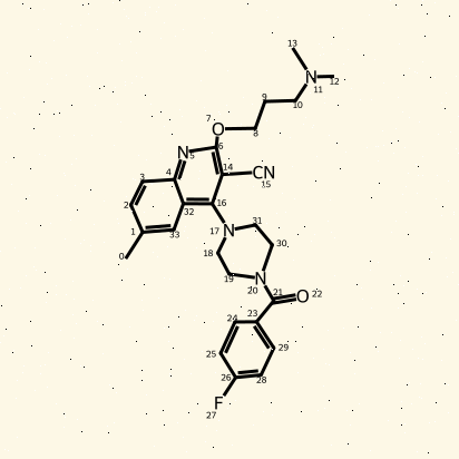 Cc1ccc2nc(OCCCN(C)C)c(C#N)c(N3CCN(C(=O)c4ccc(F)cc4)CC3)c2c1